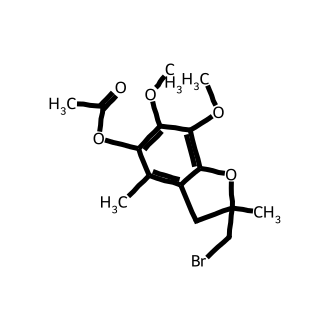 COc1c(OC(C)=O)c(C)c2c(c1OC)OC(C)(CBr)C2